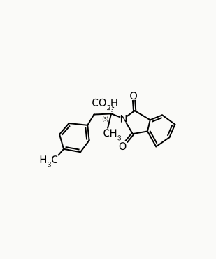 Cc1ccc(C[C@@](C)(C(=O)O)N2C(=O)c3ccccc3C2=O)cc1